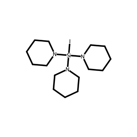 I[Si](N1CCCCC1)(N1CCCCC1)N1CCCCC1